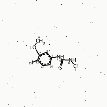 COc1cc(NC(=S)NCl)ccc1I